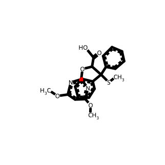 COc1cc(OC)nc(OC(C(=O)O)C(SC)(c2ccccc2)c2ccccc2)n1